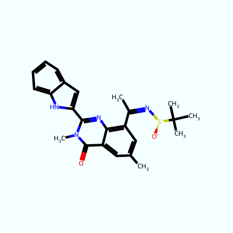 C/C(=N/[S@+]([O-])C(C)(C)C)c1cc(C)cc2c(=O)n(C)c(-c3cc4ccccc4[nH]3)nc12